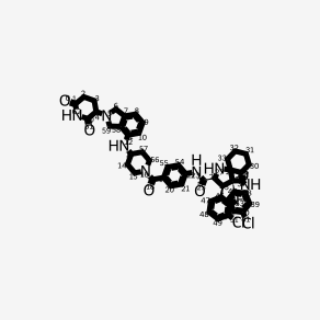 O=C1CCC(N2Cc3cccc(NC4CCN(C(=O)c5ccc(NC(=O)[C@@H]6NC7(CCCCC7)[C@@]7(C(=O)Nc8cc(Cl)ccc87)[C@H]6c6cccc(Cl)c6F)cc5)CC4)c3C2)C(=O)N1